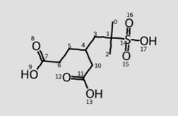 CC(C)(CC(CCC(=O)O)CC(=O)O)S(=O)(=O)O